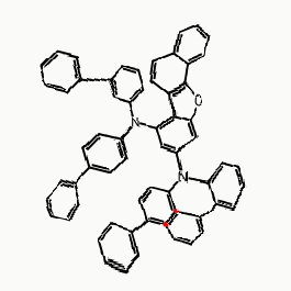 c1ccc(-c2ccc(N(c3cc(N(c4ccc(-c5ccccc5)cc4)c4cccc(-c5ccccc5)c4)c4c(c3)oc3c5ccccc5ccc34)c3ccccc3-c3ccccc3)cc2)cc1